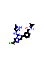 Cc1cc(Nc2nc(-c3cccc(C(=O)NC4CC4)c3)cc3nc(CCl)cn23)n[nH]1